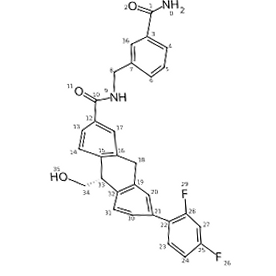 NC(=O)c1cccc(CNC(=O)c2ccc3c(c2)Cc2cc(-c4ccc(F)cc4F)ccc2[C@@H]3CO)c1